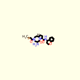 CSCC(=O)N1CC[C@H]2CC[C@@H](C(=O)N[C@@H]3CCOc4ccccc43)N2C(=O)[C@@H](N)C1